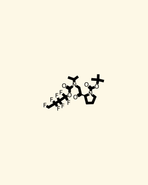 CC(C)N(CC(=O)[C@@H]1CCCN1C(=O)OC(C)(C)C)C(=O)OC(F)(F)C(F)(F)C(F)(F)CF